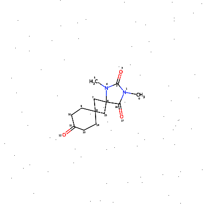 CN1C(=O)N(C)C2(CC3(CCC(=O)CC3)C2)C1=O